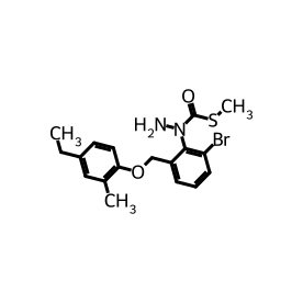 CCc1ccc(OCc2cccc(Br)c2N(N)C(=O)SC)c(C)c1